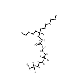 CCCCCCCC(C)(CCCCC)CNC(=O)OCCC(C)(C)OCCC(C)(C)OC